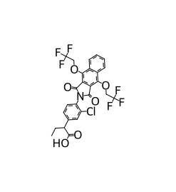 CCC(C(=O)O)c1ccc(N2C(=O)c3c(c(OCC(F)(F)F)c4ccccc4c3OCC(F)(F)F)C2=O)c(Cl)c1